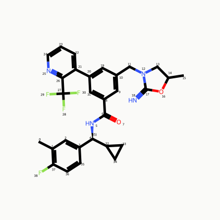 Cc1cc([C@@H](NC(=O)c2cc(CN3CC(C)OC3=N)cc(-c3cccnc3C(F)(F)F)c2)C2CC2)ccc1F